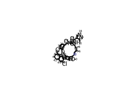 COC1/C=C/[C@H](C)[C@H](C)C[S@@](=O)(NC(=O)c2cn(C)nc2C)=NC(=O)c2ccc3c(c2F)N(C[C@@H]2CC[C@@H]12)C[C@@]1(CCCc2cc(Cl)ccc21)CO3